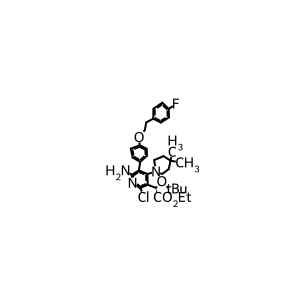 CCOC(=O)[C@@H](OC(C)(C)C)c1c(Cl)nc(N)c(-c2ccc(OCCc3ccc(F)cc3)cc2)c1N1CCC(C)(C)CC1